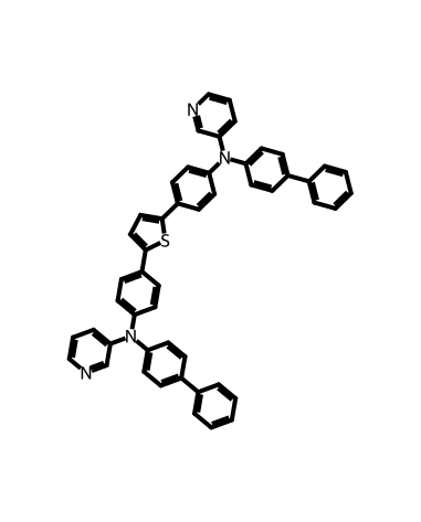 c1ccc(-c2ccc(N(c3ccc(-c4ccc(-c5ccc(N(c6ccc(-c7ccccc7)cc6)c6cccnc6)cc5)s4)cc3)c3cccnc3)cc2)cc1